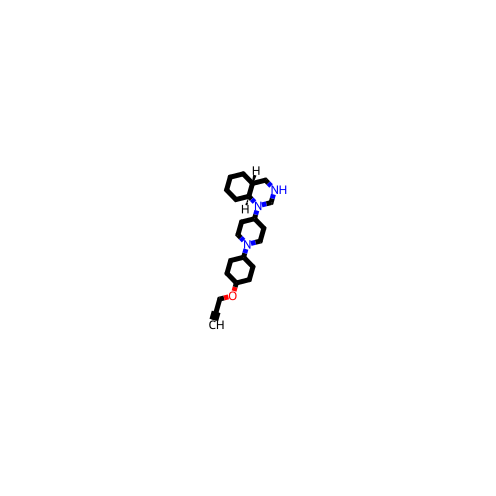 C#CCOC1CCC(N2CCC(N3CNC[C@H]4CCCC[C@@H]43)CC2)CC1